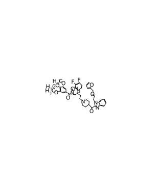 COc1cc(C(=O)N(C)CC(CCN2CCC(C(=O)c3nc4ccccc4n3CCOCc3ccco3)CC2)c2ccc(F)c(F)c2)cc(OC)c1OC